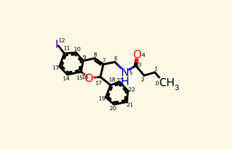 CCCC(=O)NCC1=Cc2cc(I)ccc2OC1c1ccccc1